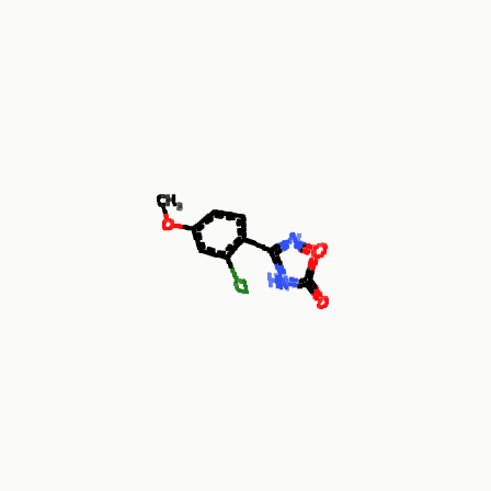 COc1ccc(-c2noc(=O)[nH]2)c(Cl)c1